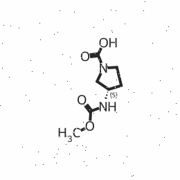 COC(=O)N[C@H]1CCN(C(=O)O)C1